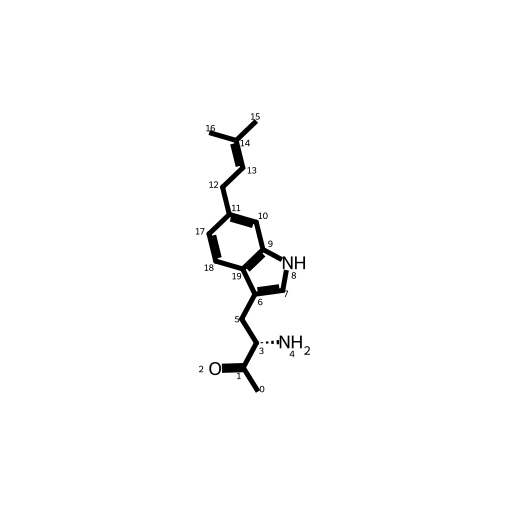 CC(=O)[C@@H](N)Cc1c[nH]c2cc(CC=C(C)C)ccc12